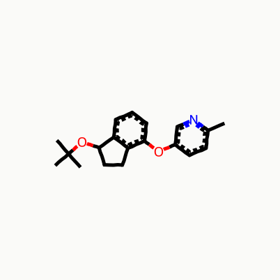 Cc1ccc(Oc2cccc3c2CCC3OC(C)(C)C)cn1